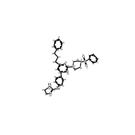 O=S(=O)(c1ccccc1)N1CCN(c2nc(CCCc3ccccc3)cc(-c3ccc(NC4=NCCN4)cc3)n2)CC1